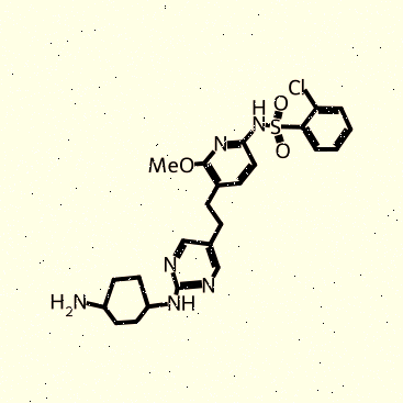 COc1nc(NS(=O)(=O)c2ccccc2Cl)ccc1CCc1cnc(NC2CCC(N)CC2)nc1